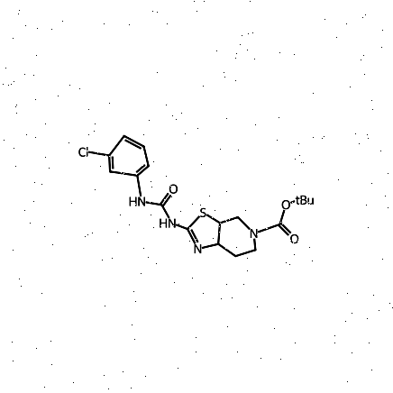 CC(C)(C)OC(=O)N1CCC2N=C(NC(=O)Nc3cccc(Cl)c3)SC2C1